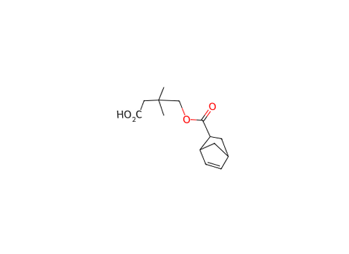 CC(C)(COC(=O)C1CC2C=CC1C2)CC(=O)O